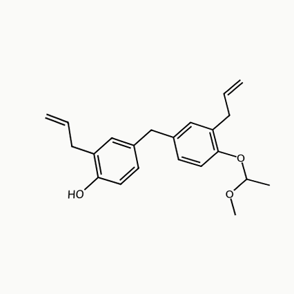 C=CCc1cc(Cc2ccc(OC(C)OC)c(CC=C)c2)ccc1O